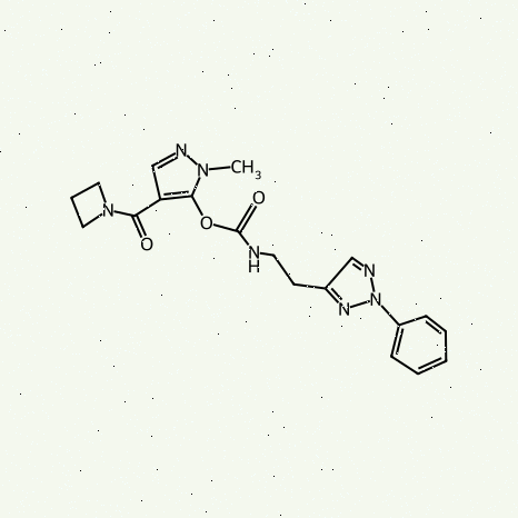 Cn1ncc(C(=O)N2CCC2)c1OC(=O)NCCc1cnn(-c2ccccc2)n1